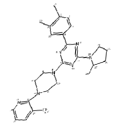 Cc1ccc(-c2nc(N3CCN(c4ncccc4C(F)(F)F)CC3)nc(N3CCCC3C)n2)cc1C